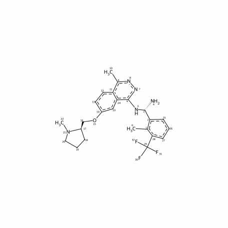 Cc1c([C@@H](N)Nc2nnc(C)c3ccc(OC[C@H]4CCCN4C)cc23)cccc1C(F)(F)F